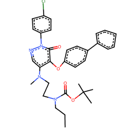 CCCN(CCN(C)c1cnn(-c2ccc(Cl)cc2)c(=O)c1Oc1ccc(-c2ccccc2)cc1)C(=O)OC(C)(C)C